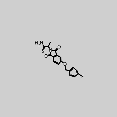 CC(C(N)=S)N1C(=O)c2ccc(OCc3ccc(F)cc3)cc2C1=O